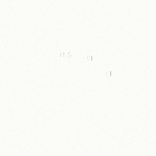 CC(Cl)c1ccccc1.[SiH3]Cl